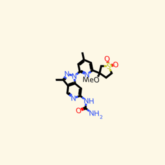 COC1(c2cc(C)cc(-n3nc(C)c4cnc(NC(N)=O)cc43)n2)CCS(=O)(=O)C1